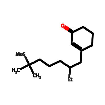 CCC(CCCC(C)(C)SC)CC1=CC(=O)CCC1